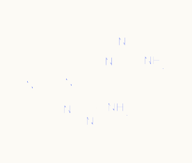 Nc1ncnc2c1c(-c1ccc(N)c3nccn13)cn2-c1cccnc1